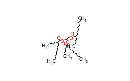 CCCCCCCCC(CCCC)C(=O)OCC(COC(=O)C(CCCC)CCCCCCCC)OC(=O)C(CCCC)CCCCCCCC